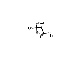 CCCCCC(C)(CCCC)SC(=S)OCC